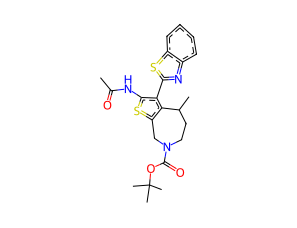 CC(=O)Nc1sc2c(c1-c1nc3ccccc3s1)C(C)CCN(C(=O)OC(C)(C)C)C2